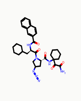 [N-]=[N+]=NC1C[C@@H](C(=O)NC2(C(=O)C(N)=O)CCCCC2)N(C(=O)[C@@H](CC2CCCCC2)NC(=O)c2ccc3ccccc3c2)C1